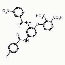 O=C(Nc1ccc(Oc2cccc(C(=O)O)c2C(=O)O)c(NC(=O)c2cccc([N+](=O)[O-])c2)c1)c1ccc(I)cc1